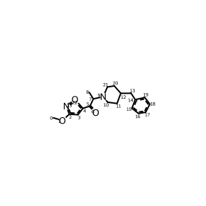 COc1cc(C(=O)C(C)N2CCC(Cc3ccccc3)CC2)on1